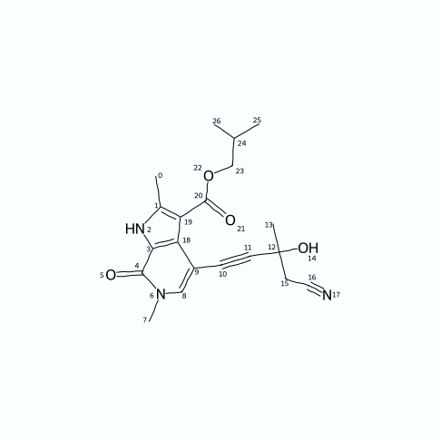 Cc1[nH]c2c(=O)n(C)cc(C#CC(C)(O)CC#N)c2c1C(=O)OCC(C)C